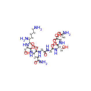 NCCCC[C@H](N)C(=O)N[C@@H](CO)C(=O)N[C@@H](CCC(N)=O)C(=O)NCC(=O)NCC(=O)N[C@@H](CO)C(=O)N[C@@H](CC(N)=O)C(=O)O